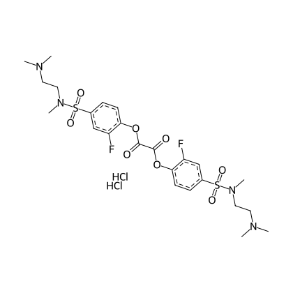 CN(C)CCN(C)S(=O)(=O)c1ccc(OC(=O)C(=O)Oc2ccc(S(=O)(=O)N(C)CCN(C)C)cc2F)c(F)c1.Cl.Cl